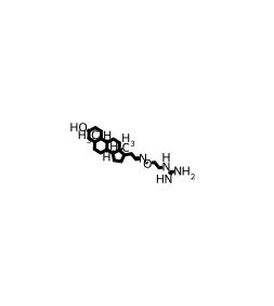 C[C@]12CCC(O)CC1CC[C@@H]1[C@H]2CC[C@]2(C)C(CC=NOCCNC(=N)N)CC[C@@H]12